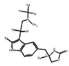 [2H]c1[nH]c2ccc(C[C@@]3([2H])COC(=O)N3)cc2c1C([2H])([2H])CN(C)C([2H])([2H])[2H]